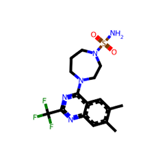 Cc1cc2nc(C(F)(F)F)nc(N3CCCN(S(N)(=O)=O)CC3)c2cc1C